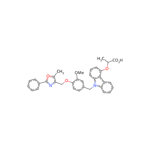 COc1cc(Cn2c3ccccc3c3c(OC(C)C(=O)O)cccc32)ccc1OCc1nc(-c2ccccc2)oc1C